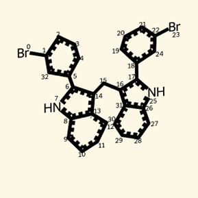 Brc1cccc(-c2[nH]c3ccccc3c2Cc2c(-c3cccc(Br)c3)[nH]c3ccccc23)c1